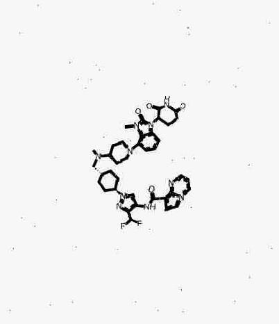 CN(C[C@H]1CC[C@H](n2cc(NC(=O)c3ccn4cccnc34)c(C(F)F)n2)CC1)C1CCN(c2cccc3c2n(C)c(=O)n3C2CCC(=O)NC2=O)CC1